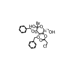 O=C(CCl)O[C@H]1[C@H](OCc2ccccc2)[C@@H](OCc2ccccc2)[C@](O)(Br)O[C@@H]1CO